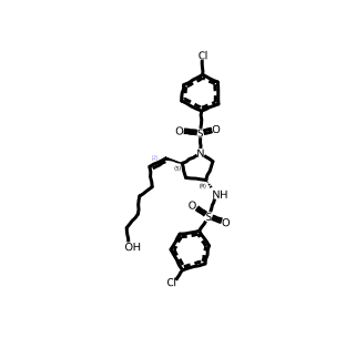 O=S(=O)(N[C@@H]1C[C@@H](/C=C\CCCCO)N(S(=O)(=O)c2ccc(Cl)cc2)C1)c1ccc(Cl)cc1